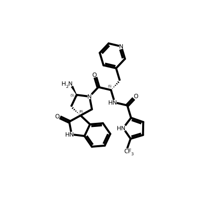 N[C@@H]1C[C@@]2(CN1C(=O)[C@H](Cc1cccnc1)NC(=O)c1ccc(C(F)(F)F)[nH]1)C(=O)Nc1ccccc12